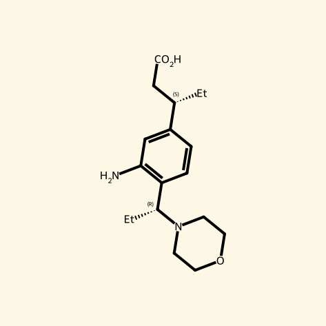 CC[C@@H](CC(=O)O)c1ccc([C@@H](CC)N2CCOCC2)c(N)c1